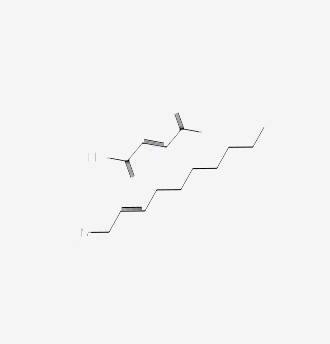 CCCCCCCC=CCN.O=C(O)/C=C/C(=O)O